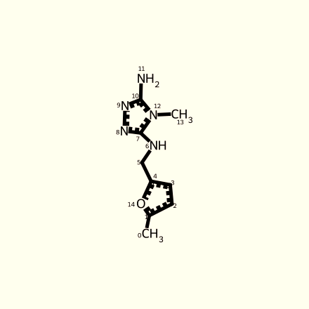 Cc1ccc(CNc2nnc(N)n2C)o1